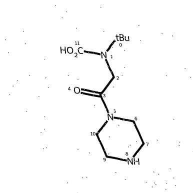 CC(C)(C)N(CC(=O)N1CCNCC1)C(=O)O